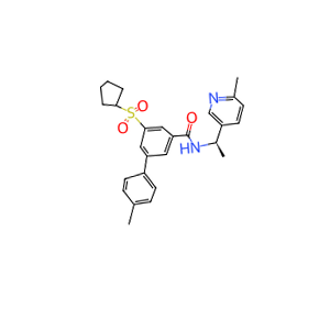 Cc1ccc(-c2cc(C(=O)N[C@H](C)c3ccc(C)nc3)cc(S(=O)(=O)C3CCCC3)c2)cc1